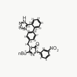 CCCCc1nn(-c2cccc([N+](=O)[O-])c2)c(=O)n1Cc1ccc(-c2ccccc2-c2nnn[nH]2)cc1